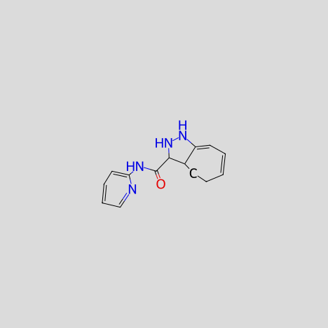 O=C(Nc1ccccn1)C1NNC2=CC=CCCC21